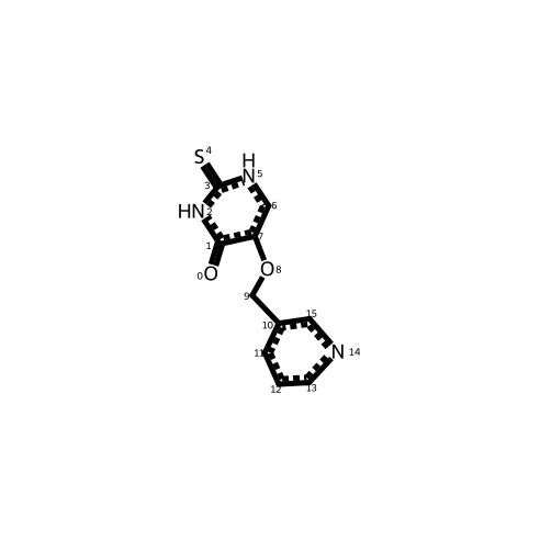 O=c1[nH]c(=S)[nH]cc1OCc1cccnc1